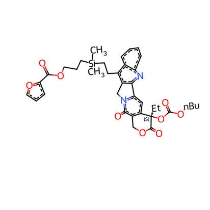 CCCCOC(=O)O[C@]1(CC)C(=O)OCc2c1cc1n(c2=O)Cc2c-1nc1ccccc1c2CC[Si](C)(C)CCCOC(=O)c1ccco1